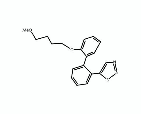 COCCCCOc1ccccc1-c1ccccc1-c1[c]nns1